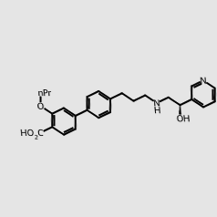 CCCOc1cc(-c2ccc(CCCNC[C@H](O)c3cccnc3)cc2)ccc1C(=O)O